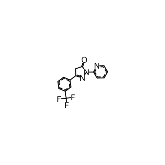 O=C1CC(c2cccc(C(F)(F)F)c2)=NN1c1ccccn1